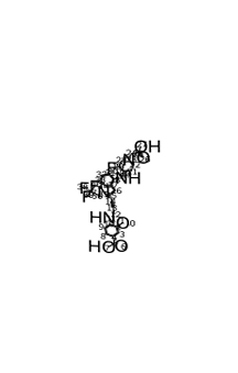 COc1cc(C(=O)O)ccc1NCC#Cc1cc2c(N[C@@H]3CCN(CC(=O)O)C[C@@H]3F)cccc2n1CC(F)(F)F